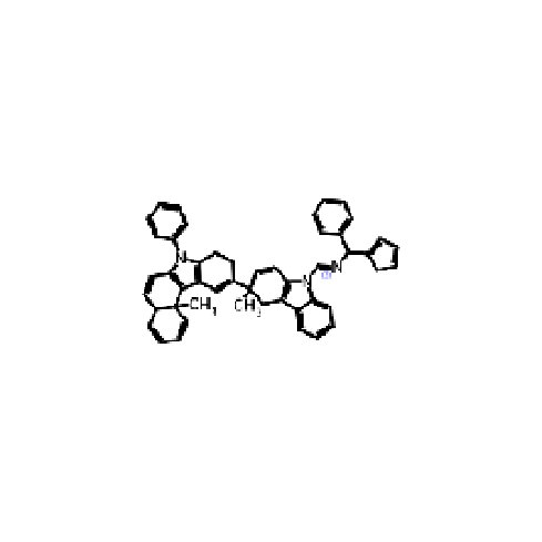 CC1(C2=Cc3c4c(n(-c5ccccc5)c3CC2)C=CC2C=CC=CC42C)C=Cc2c(c3ccccc3n2/C=N/C(C2=CC=CC2)c2ccccc2)C1